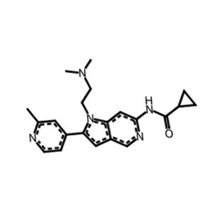 Cc1cc(-c2cc3cnc(NC(=O)C4CC4)cc3n2CCN(C)C)ccn1